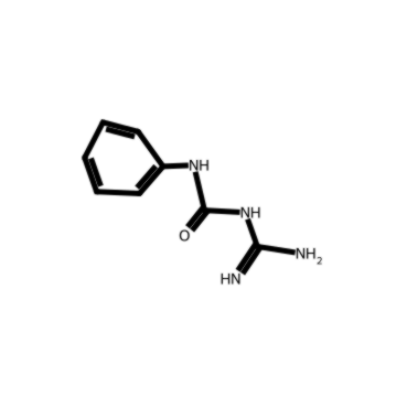 N=C(N)NC(=O)Nc1ccccc1